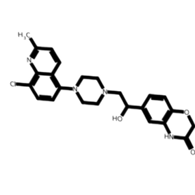 Cc1ccc2c(N3CCN(CC(O)c4ccc5c(c4)NC(=O)CO5)CC3)ccc(Cl)c2n1